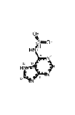 O=[SH](=O)Nc1ncnc2nc[nH]c12